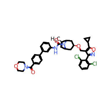 C[C@@H]1CC2C[C@H](OCc3c(-c4c(Cl)cccc4Cl)noc3C3CC3)CC1N2C(=O)Nc1cccc(-c2ccc(C(=O)N3CCOCC3)cc2)c1